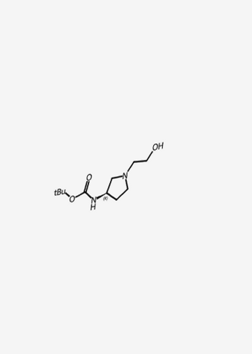 CC(C)(C)OC(=O)N[C@@H]1CCN(CCO)C1